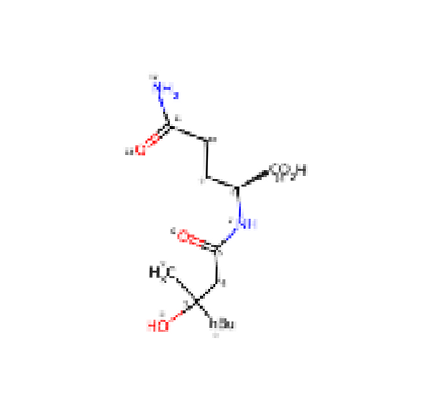 CCCCC(C)(O)CC(=O)N[C@@H](CCC(N)=O)C(=O)O